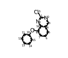 Clc1ncc2cccc(Oc3ccccc3)c2n1